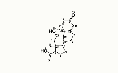 CC(O)C1CCC2C3CCC4=CC(=O)C=CC4(C)C3C(O)CC12C